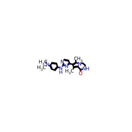 Cc1c(-c2ccnc(Nc3ccc(N(C)C)cc3)n2)c(C)n2c1C(=O)NCC2